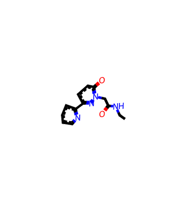 CCNC(=O)Cn1nc(-c2ccccn2)ccc1=O